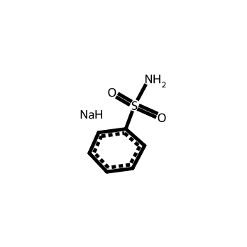 NS(=O)(=O)c1ccccc1.[NaH]